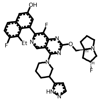 CCc1c(F)ccc2cc(O)cc(-c3ncc4c(N5CCCC(c6ccn[nH]6)C5)nc(OC[C@@]56CCCN5C[C@H](F)C6)nc4c3F)c12